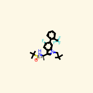 C[C@@H](N[S@@+]([O-])C(C)(C)C)c1cn(CC(C)(C)C)c2cc(-c3ccccc3C(F)(F)F)c(F)cc12